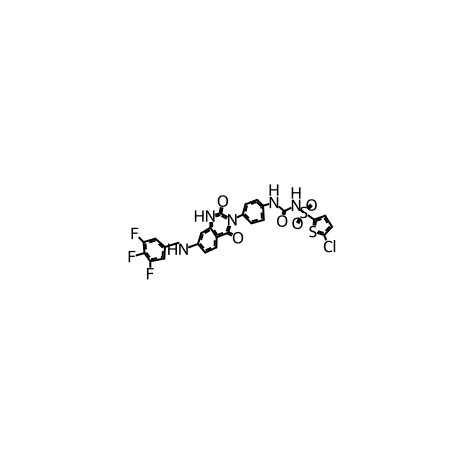 O=C(Nc1ccc(-n2c(=O)[nH]c3cc(NCc4cc(F)c(F)c(F)c4)ccc3c2=O)cc1)NS(=O)(=O)c1ccc(Cl)s1